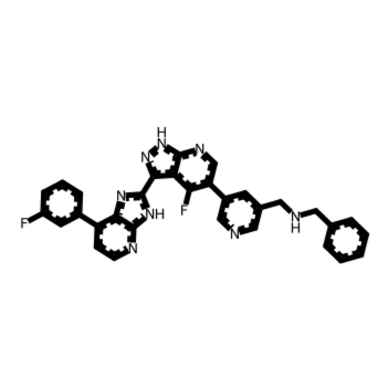 Fc1cccc(-c2ccnc3[nH]c(-c4n[nH]c5ncc(-c6cncc(CNCc7ccccc7)c6)c(F)c45)nc23)c1